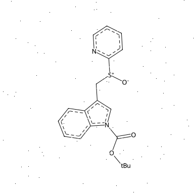 CC(C)(C)OC(=O)n1cc(C[S+]([O-])c2ccccn2)c2ccccc21